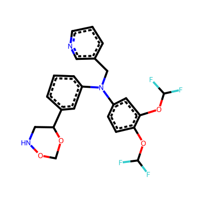 FC(F)Oc1ccc(N(Cc2cccnc2)c2cccc(C3CNOCO3)c2)cc1OC(F)F